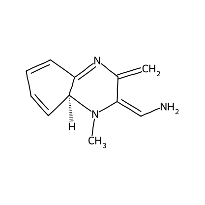 C=C1N=C2C=CC=C[C@@H]2N(C)/C1=C/N